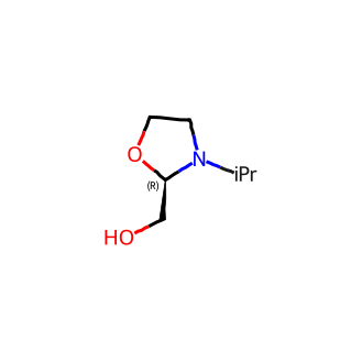 CC(C)N1CCO[C@@H]1CO